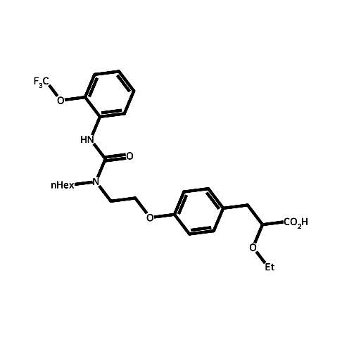 CCCCCCN(CCOc1ccc(CC(OCC)C(=O)O)cc1)C(=O)Nc1ccccc1OC(F)(F)F